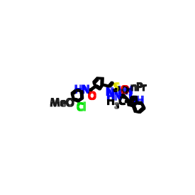 CCCNC1NC2c3ccccc3C1CC2(C)C(=O)Nc1nc(-c2cccc(C(=O)Nc3ccc(OC)c(Cl)c3)c2)cs1